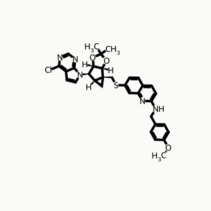 COc1ccc(CNc2ccc3ccc(SC[C@@]45C[C@@H]4[C@@H](n4ccc6c(Cl)ncnc64)[C@@H]4OC(C)(C)O[C@@H]45)cc3n2)cc1